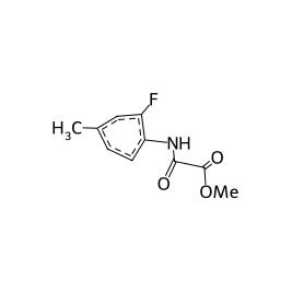 COC(=O)C(=O)Nc1ccc(C)cc1F